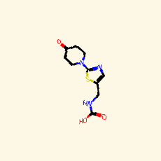 O=C1CCN(c2ncc(CNC(=O)O)s2)CC1